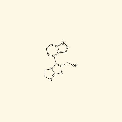 OCC1=C(c2cccc3sccc23)N2CCN=C2S1